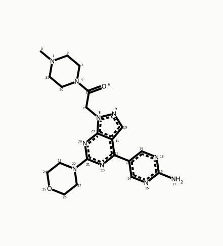 CN1CCN(C(=O)Cn2ncc3c(-c4cnc(N)nc4)nc(N4CCOCC4)nc32)CC1